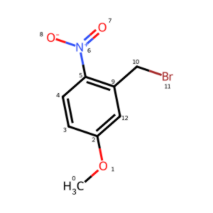 COc1ccc([N+](=O)[O-])c(CBr)c1